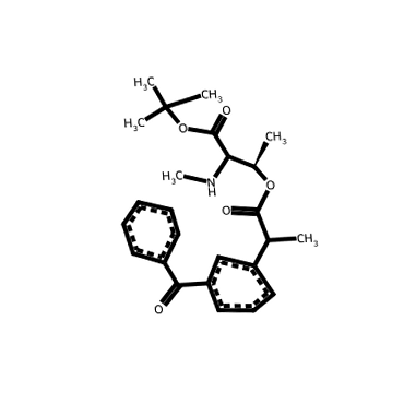 CNC(C(=O)OC(C)(C)C)[C@@H](C)OC(=O)C(C)c1cccc(C(=O)c2ccccc2)c1